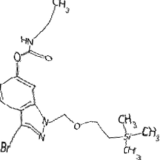 CCNC(=O)Oc1cc2c(cn1)c(Br)nn2COCC[Si](C)(C)C